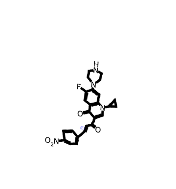 O=C(/C=C/c1ccc([N+](=O)[O-])cc1)c1cn(C2CC2)c2cc(N3CCNCC3)c(F)cc2c1=O